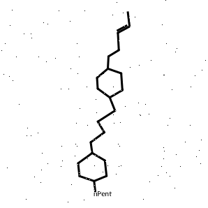 CC=CCCC1CCC(CCCCC2CCC(CCCCC)CC2)CC1